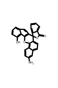 Nc1ccc2c3c(ccc2c1)C1(OC(=O)c2ccccc21)c1ccc2cccc(O)c2c1O3